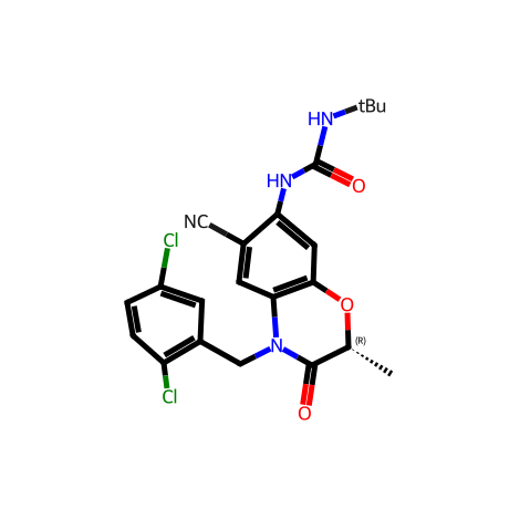 C[C@H]1Oc2cc(NC(=O)NC(C)(C)C)c(C#N)cc2N(Cc2cc(Cl)ccc2Cl)C1=O